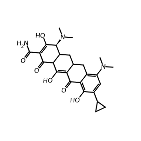 CN(C)c1cc(C2CC2)c(O)c2c1CC1CC3C(C(=O)C(C(N)=O)=C(O)[C@H]3N(C)C)C(O)=C1C2=O